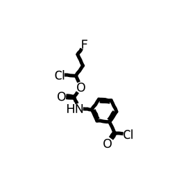 O=C(Nc1cccc(C(=O)Cl)c1)OC(Cl)CCF